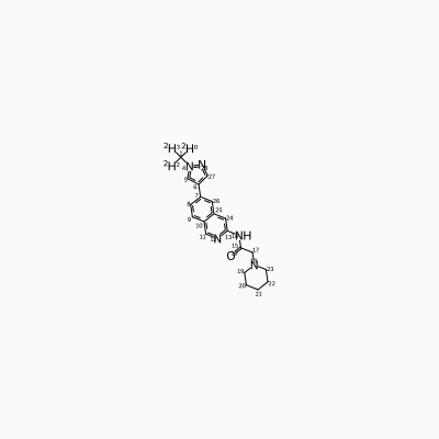 [2H]C([2H])([2H])n1cc(-c2ccc3cnc(NC(=O)CN4CCCCC4)cc3c2)cn1